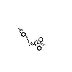 CNCc1ccc(OCCC[N+](C)(C)Cc2cnc([C@](O)(c3ccccc3)C3CCCCC3)o2)cc1